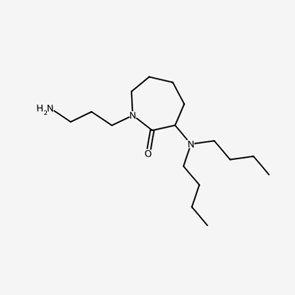 CCCCN(CCCC)C1CCCCN(CCCN)C1=O